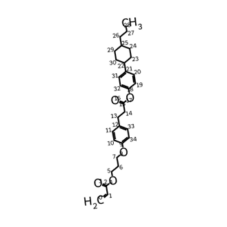 C=CC(=O)OCCCOc1ccc(CCC(=O)Oc2ccc(C3CCC(CCC)CC3)cc2)cc1